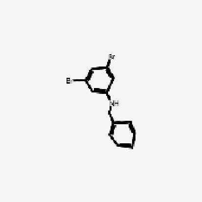 Brc1cc(Br)cc(NCc2ccccc2)c1